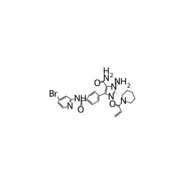 C=CC(=O)N1CCCC[C@H]1c1nc(-c2ccc(C(=O)Nc3cc(Br)ccn3)cc2)c(C(N)=O)n1N